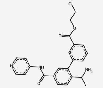 CC(N)c1ccc(C(=O)Nc2ccncc2)cc1-c1cccc(C(=O)OCCCl)c1